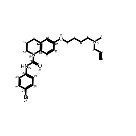 C=CCN(C)CCCCOc1ccc2c(c1)CCCN2C(=O)Nc1ccc(Br)cc1